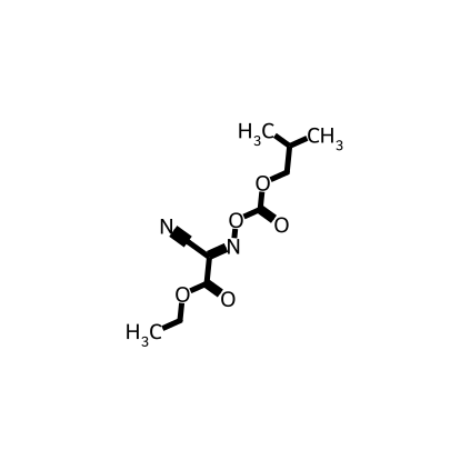 CCOC(=O)/C(C#N)=N/OC(=O)OCC(C)C